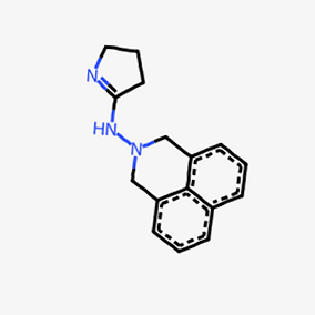 c1cc2c3c(cccc3c1)CN(NC1=NCCC1)C2